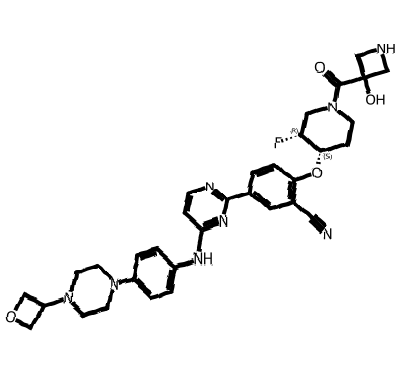 N#Cc1cc(-c2nccc(Nc3ccc(N4CCN(C5COC5)CC4)cc3)n2)ccc1O[C@H]1CCN(C(=O)C2(O)CNC2)C[C@H]1F